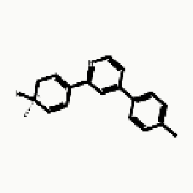 Cc1ccc(-c2ccnc(C3=CC[C@](C)(I)C=C3)c2)cc1